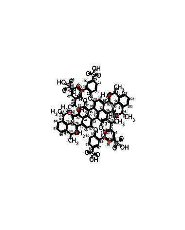 CC(C)c1cc(S(=O)(=O)O)ccc1Oc1cc2c3c(cc(Oc4ccc(S(=O)(=O)O)cc4C(C)C)c4c5c(Oc6ccc(S(=O)(=O)O)cc6C(C)C)cc6c7c(cc(Oc8ccc(S(=O)(=O)O)cc8C(C)C)c(c1c34)c75)C(=O)N(c1c(C(C)C)cccc1C(C)C)C6=O)C(=O)N(c1c(C(C)C)cccc1C(C)C)C2=O